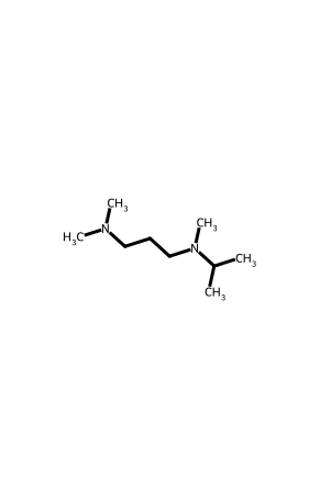 C[C](C)N(C)CCCN(C)C